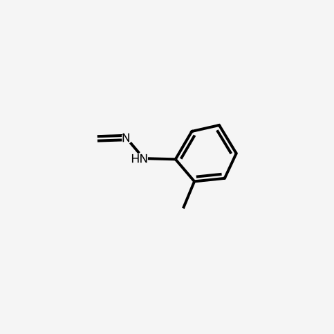 C=NNc1ccccc1C